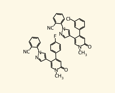 Cn1cc(-c2cnn(-c3ccccc3C#N)c2)c(-c2ccc(F)cc2)cc1=O.Cn1cc(-c2cnn(-c3ccccc3C#N)c2)c(-c2cccc(Cl)c2)cc1=O